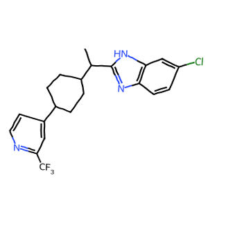 CC(c1nc2ccc(Cl)cc2[nH]1)C1CCC(c2ccnc(C(F)(F)F)c2)CC1